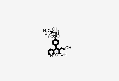 CC(C)(C)NS(=O)(=O)c1ccc(/C(=C(\CCO)C(=O)O)c2cccnc2)cc1